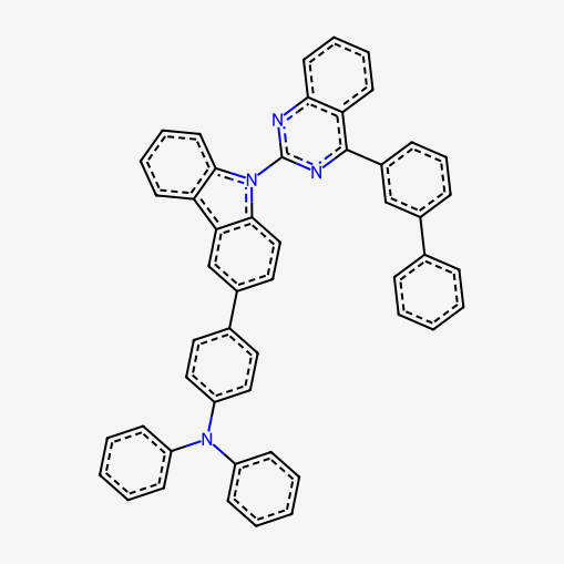 c1ccc(-c2cccc(-c3nc(-n4c5ccccc5c5cc(-c6ccc(N(c7ccccc7)c7ccccc7)cc6)ccc54)nc4ccccc34)c2)cc1